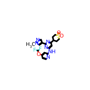 Cn1cc(-c2nc(Nc3cc(OC(F)F)ccn3)cc(C3CCS(=O)(=O)CC3)n2)cn1